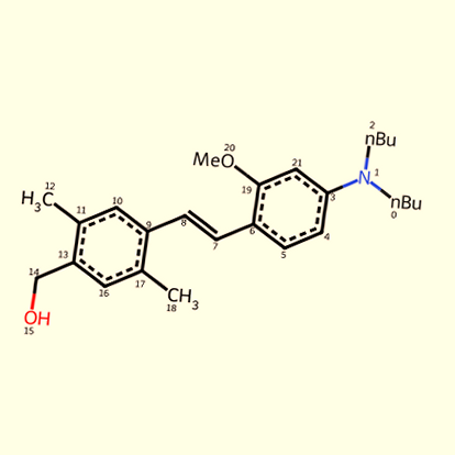 CCCCN(CCCC)c1ccc(C=Cc2cc(C)c(CO)cc2C)c(OC)c1